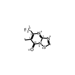 Cc1c(C(F)(F)F)nc2ncsn2c1=O